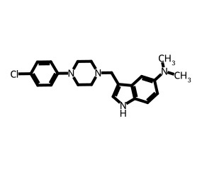 CN(C)c1ccc2[nH]cc(CN3CCN(c4ccc(Cl)cc4)CC3)c2c1